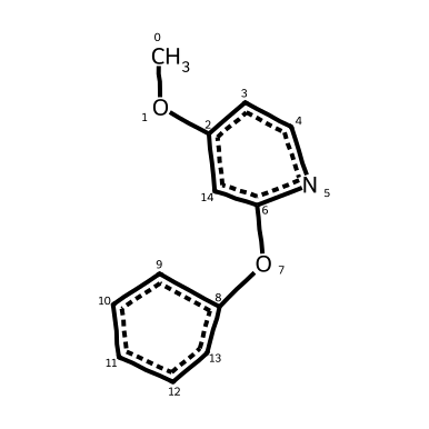 COc1ccnc(Oc2ccccc2)c1